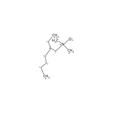 CCCCC(CC)C[N+](C)(C)[O-]